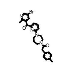 Cc1ccc(CC(=O)N2CCCN(c3cccc(C(=O)c4cc(Br)cnc4C)n3)CC2)cc1